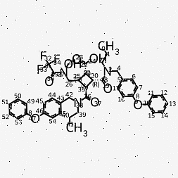 CCCN(Cc1ccc(Oc2ccccc2)cc1)C(=O)[C@H]1[C@@H](C(=O)O)[C@H](CN(O)C(=O)C(F)(F)F)[C@@H]1C(=O)N(CCC)Cc1ccc(Oc2ccccc2)cc1